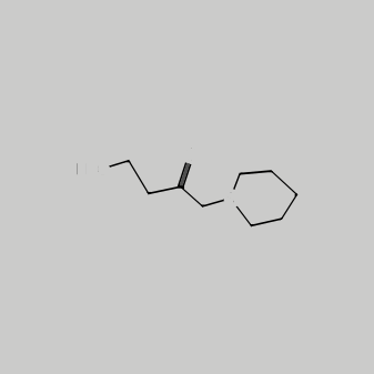 CCCC(=O)C[S+]1CCCCC1